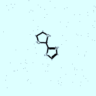 [c]1cnc(C2OCCO2)s1